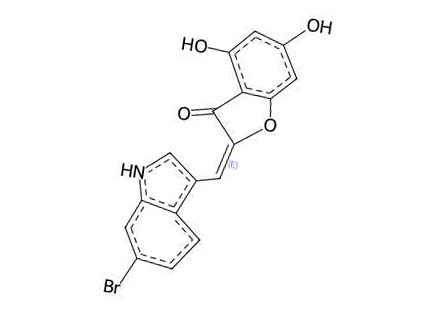 O=C1/C(=C\c2c[nH]c3cc(Br)ccc23)Oc2cc(O)cc(O)c21